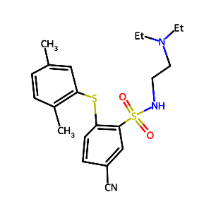 CCN(CC)CCNS(=O)(=O)c1cc(C#N)ccc1Sc1cc(C)ccc1C